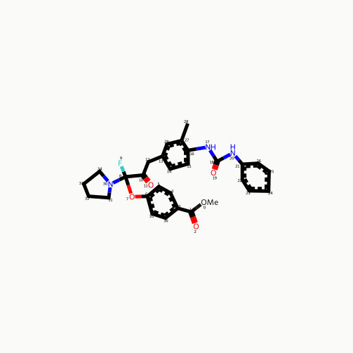 COC(=O)c1ccc(OC(F)(C(=O)Cc2ccc(NC(=O)Nc3ccccc3)c(C)c2)N2CCCC2)cc1